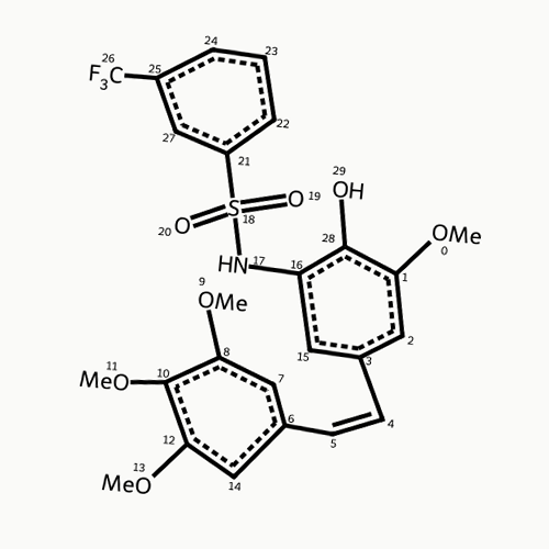 COc1cc(/C=C\c2cc(OC)c(OC)c(OC)c2)cc(NS(=O)(=O)c2cccc(C(F)(F)F)c2)c1O